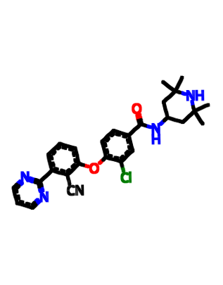 CC1(C)CC(NC(=O)c2ccc(Oc3cccc(-c4ncccn4)c3C#N)c(Cl)c2)CC(C)(C)N1